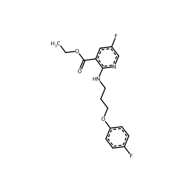 CCOC(=O)c1cc(F)cnc1NCCCOc1ccc(F)cc1